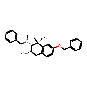 CCC[C@H]1Cc2ccc(OCc3ccccc3)cc2[C@@](C)(CCC)[C@H]1N(C)Cc1ccccc1